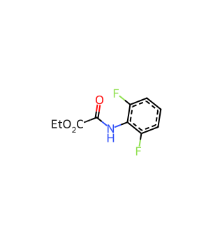 CCOC(=O)C(=O)Nc1c(F)cccc1F